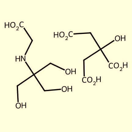 O=C(O)CC(O)(CC(=O)O)C(=O)O.O=C(O)CNC(CO)(CO)CO